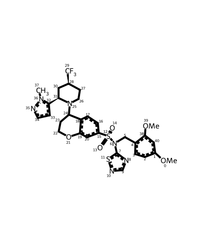 COc1ccc(CN(c2ncns2)S(=O)(=O)c2ccc3c(c2)OCCC3N2CC[C@H](C(F)(F)F)C[C@@H]2c2ccnn2C)c(OC)c1